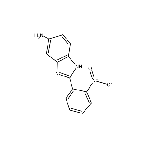 Nc1ccc2[nH]c(-c3ccccc3[N+](=O)[O-])nc2c1